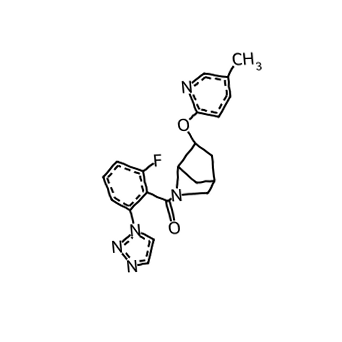 Cc1ccc(OC2CC3CC2N(C(=O)c2c(F)cccc2-n2ccnn2)C3)nc1